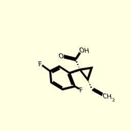 C=C[C@H]1C[C@]1(C(=O)O)c1cc(F)ccc1F